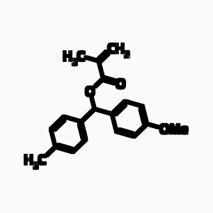 C=C(C)C(=O)OC(c1ccc(C)cc1)c1ccc(OC)cc1